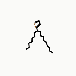 CCCCCCCCCC(CCCCCCC)c1cccs1